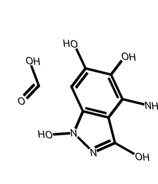 Nc1c(O)c(O)cc2c1c(O)nn2O.O=CO